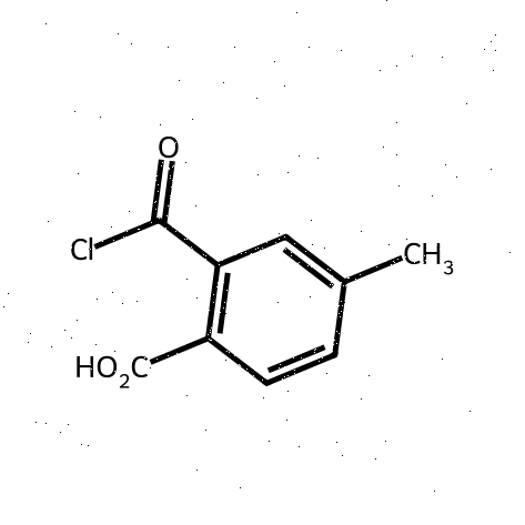 Cc1ccc(C(=O)O)c(C(=O)Cl)c1